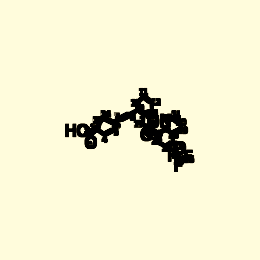 O=C(O)c1ccc(C#Cc2ccccc2CS(=O)(=O)c2ccc(OC(F)(F)F)c3cccnc23)cc1